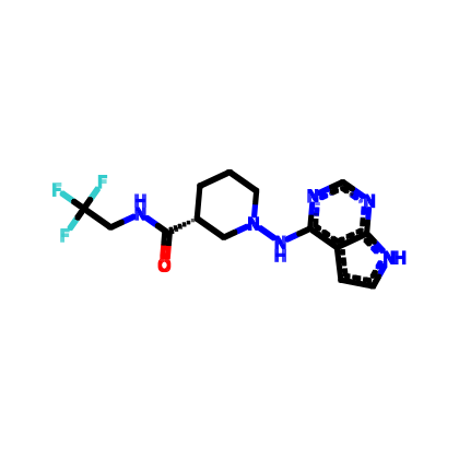 O=C(NCC(F)(F)F)[C@@H]1CCCN(Nc2ncnc3[nH]ccc23)C1